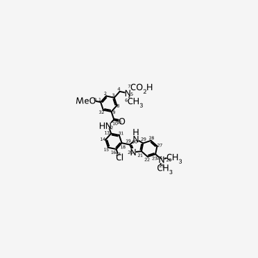 COc1cc(CN(C)C(=O)O)cc(C(=O)Nc2ccc(Cl)c(-c3nc4cc(N(C)C)ccc4[nH]3)c2)c1